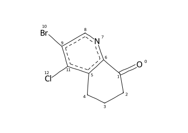 O=C1CCCc2c1ncc(Br)c2Cl